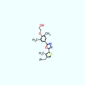 Cc1cc(-c2nnc(-c3scc(CC(C)C)c3C)o2)cc(C)c1OCCO